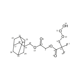 O=C(COC(=O)C(F)(F)SOOO)OCC12CC3CC(CC(C3)C1)C2